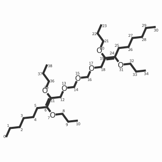 CCCCCCC(OCCC)=C(COCOCOCC(OCCC)=C(CCCCCC)OCCC)OCCC